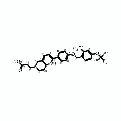 Cc1cc(OC(F)(F)F)ccc1COc1ccc(C2=CC=C3CN(CCC(=O)O)CCC3N2)cc1